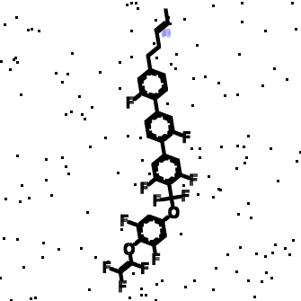 C/C=C/CCc1ccc(-c2ccc(-c3cc(F)c(C(F)(F)Oc4cc(F)c(OC(F)=C(F)F)c(F)c4)c(F)c3)c(F)c2)c(F)c1